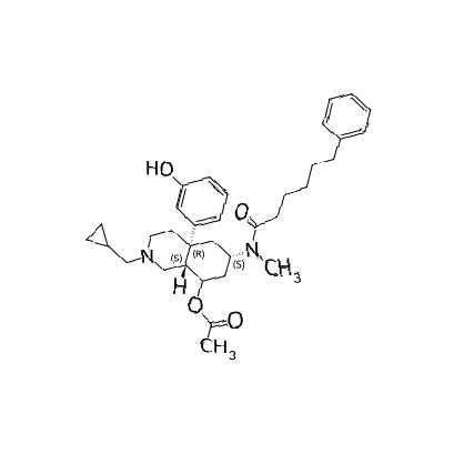 CC(=O)OC1C[C@@H](N(C)C(=O)CCCCCc2ccccc2)C[C@]2(c3cccc(O)c3)CCN(CC3CC3)C[C@@H]12